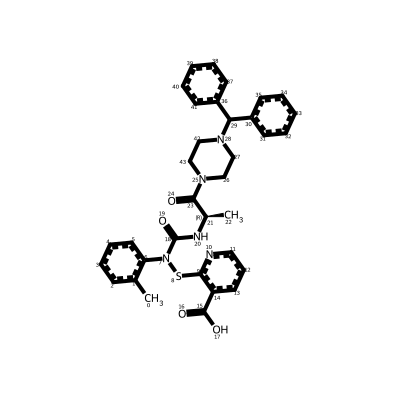 Cc1ccccc1N(Sc1ncccc1C(=O)O)C(=O)N[C@H](C)C(=O)N1CCN(C(c2ccccc2)c2ccccc2)CC1